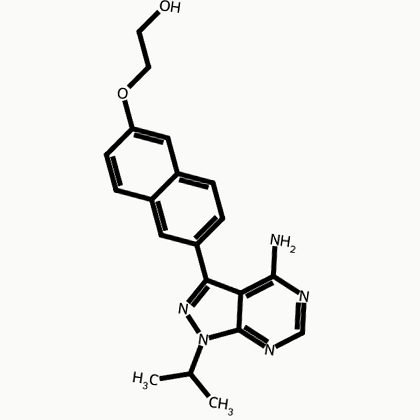 CC(C)n1nc(-c2ccc3cc(OCCO)ccc3c2)c2c(N)ncnc21